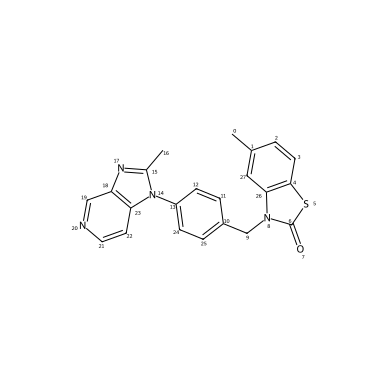 Cc1ccc2sc(=O)n(Cc3ccc(-n4c(C)nc5cnccc54)cc3)c2c1